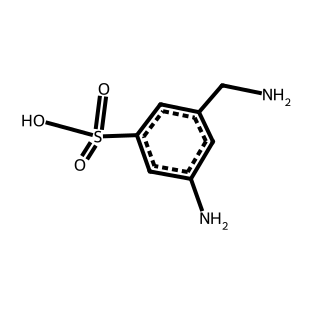 NCc1cc(N)cc(S(=O)(=O)O)c1